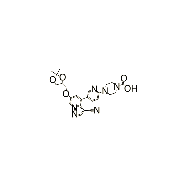 CC1(C)OC[C@@H](COc2cc(-c3ccc(N4CCN(C(=O)O)CC4)nc3)c3c(C#N)cnn3c2)O1